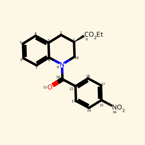 CCOC(=O)[C@@H]1Cc2ccccc2N(C(=O)c2ccc([N+](=O)[O-])cc2)C1